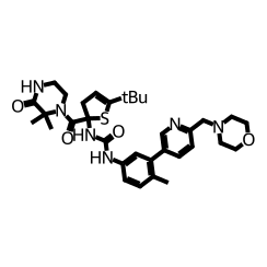 Cc1ccc(NC(=O)NC2(C(=O)N3CCNC(=O)C3(C)C)CC=C(C(C)(C)C)S2)cc1-c1ccc(CN2CCOCC2)nc1